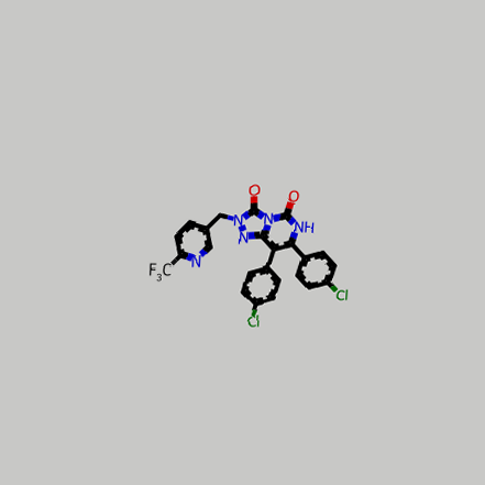 O=c1[nH]c(-c2ccc(Cl)cc2)c(-c2ccc(Cl)cc2)c2nn(Cc3ccc(C(F)(F)F)nc3)c(=O)n12